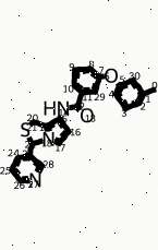 Cc1cccc(Oc2cccc(C(=O)Nc3ccn4c3CSC4c3cccnc3)c2)c1